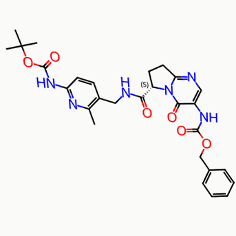 Cc1nc(NC(=O)OC(C)(C)C)ccc1CNC(=O)[C@@H]1CCc2ncc(NC(=O)OCc3ccccc3)c(=O)n21